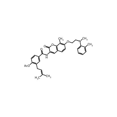 CC(=O)Oc1ccc(C(=O)Nc2cc3ccc(OCCN(C)c4ccccc4C)c(C)c3oc2=O)cc1CC=C(C)C